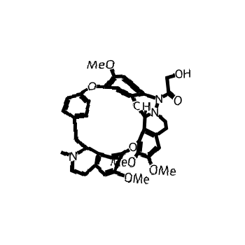 COc1cc2c3cc1Oc1ccc(cc1)CC1c4cc(c(OC)cc4CCN1C)Oc1c(OC)c(OC)cc4c1[C@H](C3)N(CC4)N2C(=O)CO